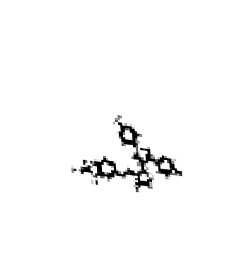 N=c1[nH]c2ccc(CCN3C(=O)COC3c3cn(-c4ccc(Br)cc4)nc3-c3ccc(F)cc3)cc2[nH]1